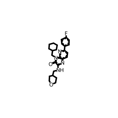 O=c1c(NCC2CCOCC2)nc2ccc(-c3ccc(F)cc3)nc2n1CC1CCCCC1